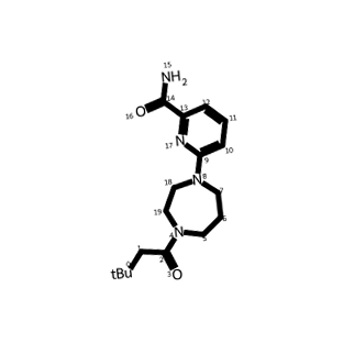 CC(C)(C)CC(=O)N1CCCN(c2cc[c]c(C(N)=O)n2)CC1